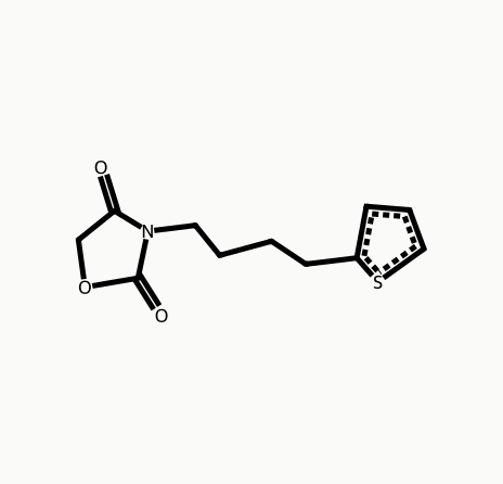 O=C1COC(=O)N1CCCCc1cccs1